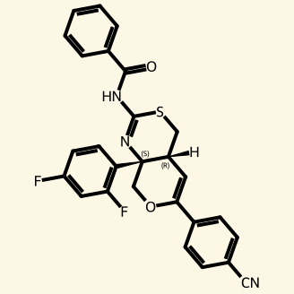 N#Cc1ccc(C2=C[C@H]3CSC(NC(=O)c4ccccc4)=N[C@@]3(c3ccc(F)cc3F)CO2)cc1